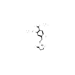 COC(=O)c1ccc(CCN2NCCC2=O)cc1OC.Cl